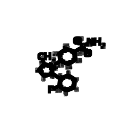 Cc1ccc(-c2ccccc2F)n1-c1ccc(S(N)(=O)=O)cc1